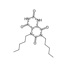 CCCCCn1c(=O)c2[nH]c(=O)[nH]c(=O)c2n(CCCCC)c1=O